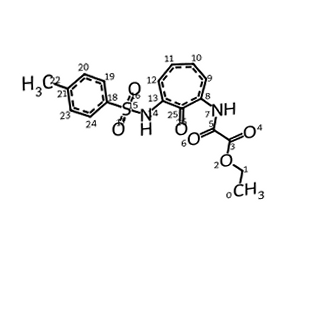 CCOC(=O)C(=O)Nc1ccccc(NS(=O)(=O)c2ccc(C)cc2)c1=O